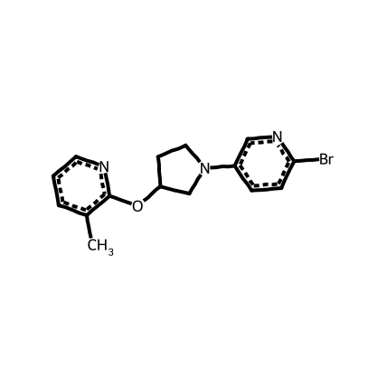 Cc1cccnc1OC1CCN(c2ccc(Br)nc2)C1